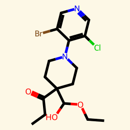 CCOC(O)C1(C(=O)CC)CCN(c2c(Cl)cncc2Br)CC1